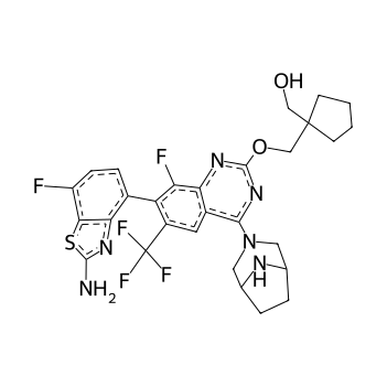 Nc1nc2c(-c3c(C(F)(F)F)cc4c(N5CC6CCC(C5)N6)nc(OCC5(CO)CCCC5)nc4c3F)ccc(F)c2s1